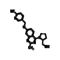 Cc1nc(N2CCCC2CO)c2ccc(OCc3ccc(C#N)nc3)cc2n1